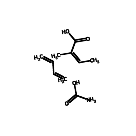 C=CC=C.CC=C(C)C(=O)O.NC(=O)O